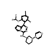 Cc1cc(F)c(-c2nnc(N[C@@H]3CCCN(N4C=COC=C4)C3)n3cccc23)c(OC(F)F)c1